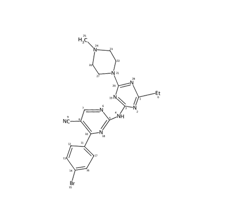 CCc1nc(Nc2ncc(C#N)c(-c3ccc(Br)cc3)n2)nc(N2CCN(C)CC2)n1